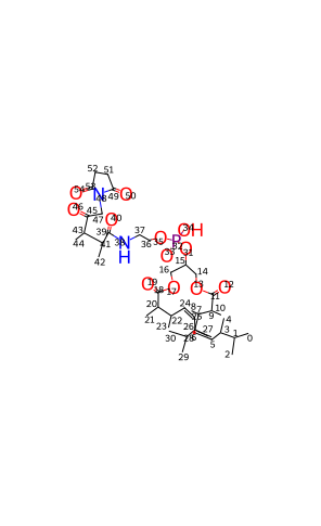 CC(C)C(C)/C=C\C(C)C(C)C(=O)OCC(COC(=O)C(C)C(C)/C=C\C(C)C(C)C)OP(=O)(O)OCCNC(=O)C(C)C(C)C(=O)CN1C(=O)CCC1=O